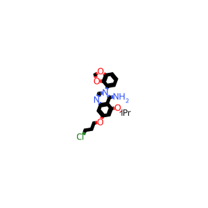 CC(C)Oc1cc(OCCCCl)cc2c1C(N)N(c1cccc3c1OCO3)C=N2